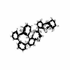 c1ccc2c(c1)-c1ccccc1-c1ccc3ncc(-c4cccc5c4oc4ccccc45)nc3c1-c1ccccc1-2